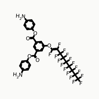 Nc1ccc(OC(=O)c2cc(OC(F)=C(F)C(F)(F)C(F)(F)C(F)(F)C(F)(F)C(F)(F)C(F)(F)C(F)(F)F)cc(C(=O)Oc3ccc(N)cc3)c2)cc1